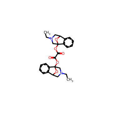 CCN1CC2OC(OC(=O)C(=O)OC34CN(CC)CC(O3)c3ccccc34)(C1)c1ccccc12